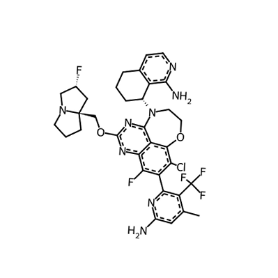 Cc1cc(N)nc(-c2c(Cl)c3c4c(nc(OC[C@@]56CCCN5C[C@H](F)C6)nc4c2F)N([C@@H]2CCCc4ccnc(N)c42)CCO3)c1C(F)(F)F